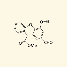 CCOc1cc(C=O)ccc1Oc1ccccc1CC(=O)OC